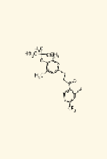 Cc1cc(CCC(=O)c2ccc(C(F)(F)F)cc2F)cc(C)c1OC(C)(C)C(=O)O